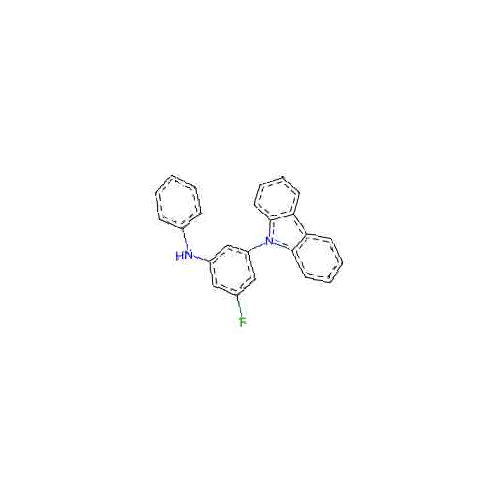 Fc1cc(Nc2ccccc2)cc(-n2c3ccccc3c3ccccc32)c1